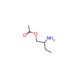 CCC(N)COC(C)=O